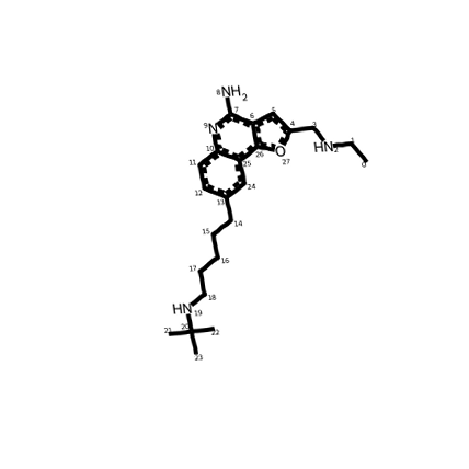 CCNCc1cc2c(N)nc3ccc(CCCCCNC(C)(C)C)cc3c2o1